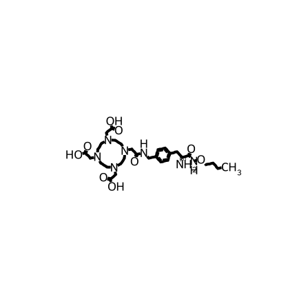 CCCCONC(=O)[C@H](N)Cc1ccc(CNC(=O)CN2CCN(CC(=O)O)CCN(CC(=O)O)CCN(CC(=O)O)CC2)cc1